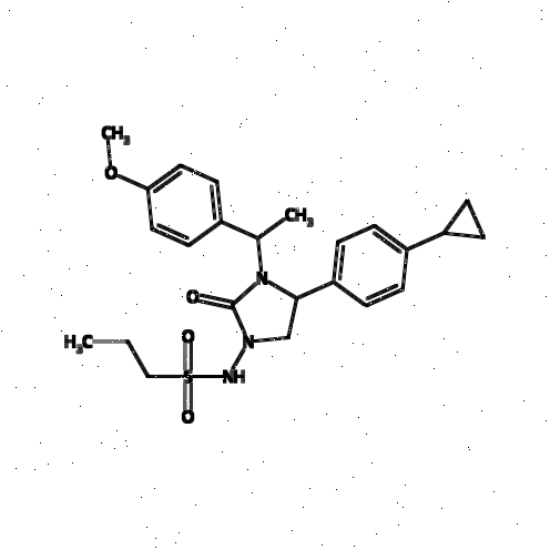 CCCS(=O)(=O)NN1CC(c2ccc(C3CC3)cc2)N(C(C)c2ccc(OC)cc2)C1=O